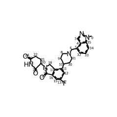 Cn1ncc2c(CN3CCC(c4cc(F)cc5c4CN(C4CCC(=O)NC4=O)C5=O)CC3)cccc21